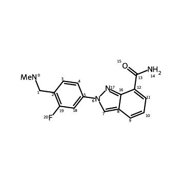 CNCc1ccc(-n2cc3cccc(C(N)=O)c3n2)cc1F